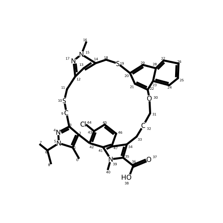 Cc1c2c(nn1C(C)C)CSCc1cc(n(C)n1)CSc1cc(c3ccccc3c1)OCCCc1c(C(=O)O)n(C)c3c-2c(Cl)ccc13